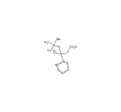 CC(CC(=O)O)(O[Si](C)(C)C(C)(C)C)c1ccccn1